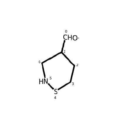 O=[C]C1CCSNC1